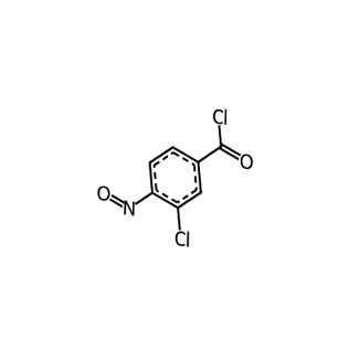 O=Nc1ccc(C(=O)Cl)cc1Cl